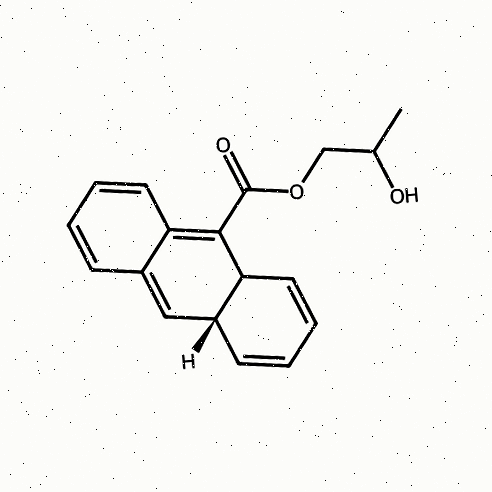 CC(O)COC(=O)C1=c2ccccc2=C[C@H]2C=CC=CC12